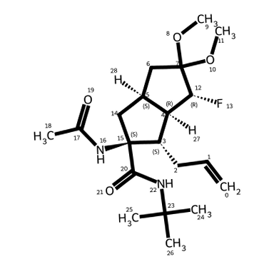 C=CC[C@H]1[C@H]2[C@H](CC(OC)(OC)[C@@H]2F)C[C@@]1(NC(C)=O)C(=O)NC(C)(C)C